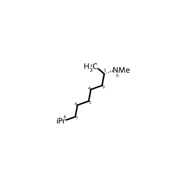 CN[C@@H](C)CCCCCC(C)C